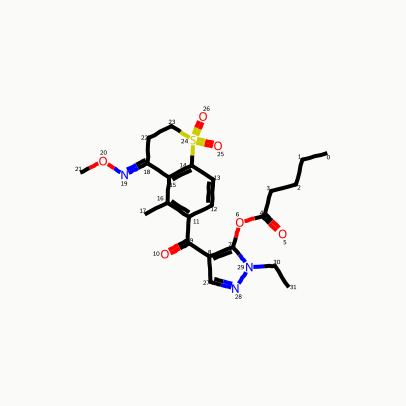 CCCCC(=O)Oc1c(C(=O)c2ccc3c(c2C)C(=NOC)CCS3(=O)=O)cnn1CC